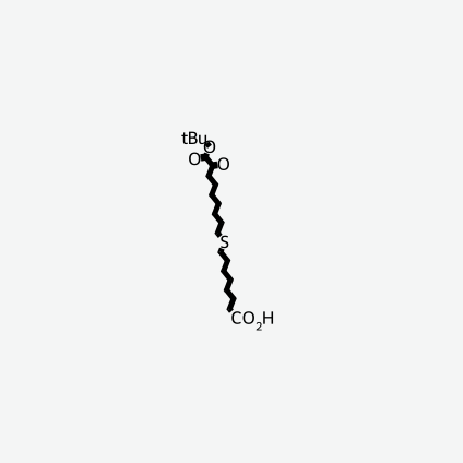 CC(C)(C)OC(=O)C(=O)CCCCCCCSCCCCCCCC(=O)O